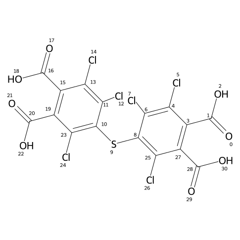 O=C(O)c1c(Cl)c(Cl)c(Sc2c(Cl)c(Cl)c(C(=O)O)c(C(=O)O)c2Cl)c(Cl)c1C(=O)O